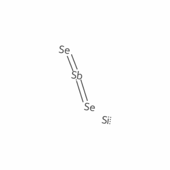 [Se]=[Sb]=[Se].[Si]